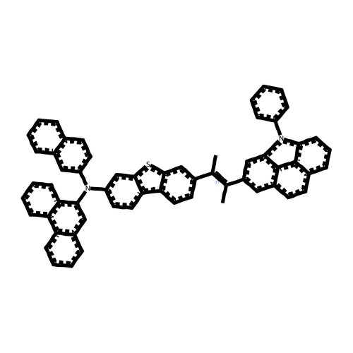 C/C(=C(/C)c1cc2ccc3cccc4c3c2c(c1)n4-c1ccccc1)c1ccc2c(c1)sc1cc(N(c3ccc4ccccc4c3)c3cc4ccccc4c4ccccc34)ccc12